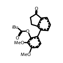 CCC(C)C(=O)Oc1c(-c2cccc3c2CCC3=O)ccc(OC)c1OC